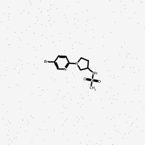 CS(=O)(=O)NC1CCN(c2ccc(Br)cn2)C1